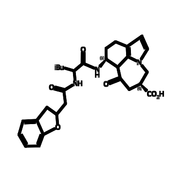 CCC(C)C(NC(=O)CC1Cc2ccccc2O1)C(=O)N[C@H]1CCc2ccn3c2C1C(=O)C[C@H](C(=O)O)C3